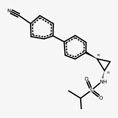 CC(C)S(=O)(=O)N[C@H]1C[C@@H]1c1ccc(-c2ccc(C#N)cc2)cc1